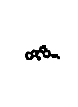 Cc1ccc2c(N3Cc4ccccc4C3=O)cnn2c1